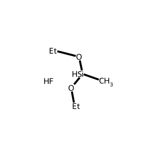 CCO[SiH](C)OCC.F